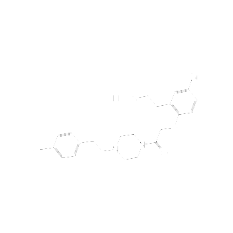 O=C(COc1ccc(Br)cc1CCS(=O)(=O)O)N1CCN(CCc2ccc(Cl)cc2)CC1